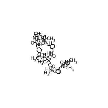 CCC(COC(=O)NCC1CCCC(CNC(=O)n2nc(C)cc2C)C1)(COC(=O)NC(C)(C)CC1CCCC(CNC(=O)n2nc(C)cc2C)C1)COC(=O)NC(C)(C)CC1CCCC(CNC(=O)n2nc(C)cc2C)C1